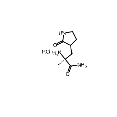 C[C@](N)(C[C@@H]1CCNC1=O)C(N)=O.Cl